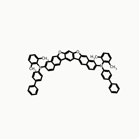 Cc1cccc(C)c1N(c1ccc(-c2ccccc2)cc1)c1ccc2cc3c(cc2c1)oc1cc2oc4cc5cc(N(c6ccc(-c7ccccc7)cc6)c6c(C)cccc6C)ccc5cc4c2cc13